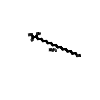 O=C(O)C(O)CCCCCCCCCCCCCCCCO.[MgH2]